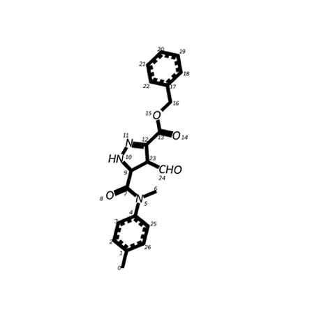 Cc1ccc(N(C)C(=O)C2NN=C(C(=O)OCc3ccccc3)C2C=O)cc1